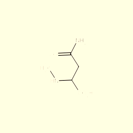 NC(=O)CC(NP)C(=O)O